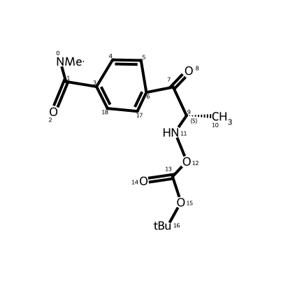 C[N]C(=O)c1ccc(C(=O)[C@H](C)NOC(=O)OC(C)(C)C)cc1